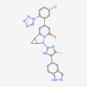 O=c1cc(-c2cc(Cl)ccc2-n2cnnn2)cc2n1C(c1nc(F)c(-c3ccc4[nH]ncc4c3)[nH]1)C1CC21